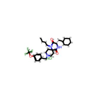 CCCCN1C(=O)[C@H](CC2CCCCC2)NC(=O)C12CCN(Cc1ccc(OC(F)(F)F)cc1)CC2.Cl